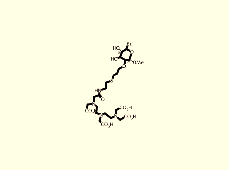 CCC1O[C@H](OC)C(OCCCSCCNC(=O)CN(CCN(CCN(CC(=O)O)CC(=O)O)CC(=O)O)CC(=O)O)C(O)[C@@H]1O